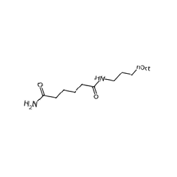 CCCCCCCCCCCNC(=O)CCCCC(N)=O